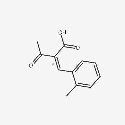 CC(=O)/C(=C/c1ccccc1C)C(=O)O